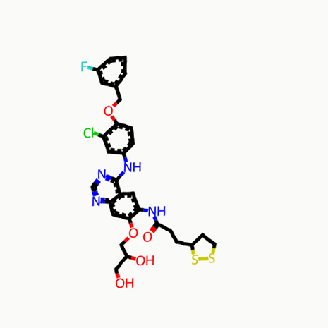 O=C(CCC1CCSS1)Nc1cc2c(Nc3ccc(OCc4cccc(F)c4)c(Cl)c3)ncnc2cc1OCC(O)CO